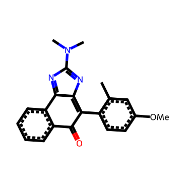 COc1ccc(C2=C3N=C(N(C)C)N=C3c3ccccc3C2=O)c(C)c1